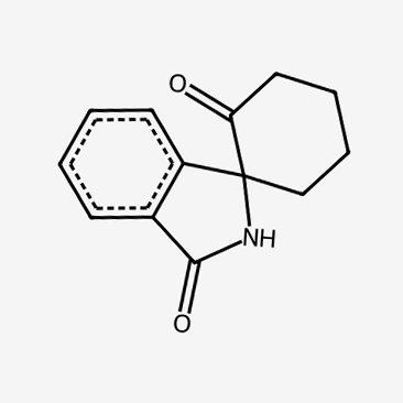 O=C1NC2(CCCCC2=O)c2ccccc21